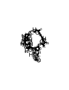 C=C1C[C@@H]2CC[C@@]34C[C@H]5O[C@H]6[C@@H](O3)[C@H]3O[C@H](CC[C@@H]3O[C@H]6[C@H]5O4)CC(=O)C[C@H]3C(CC4O[C@@H](CCC1O2)C[C@@H](C)C4=C)C[C@H](C[C@H](O)CS(C)(=O)=O)[C@@H]3OC